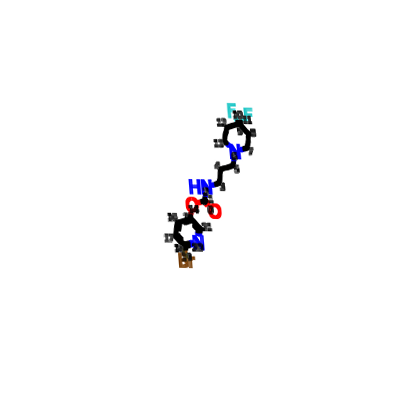 O=C(NCCCN1CCC(F)(F)CC1)Oc1ccc(Br)nc1